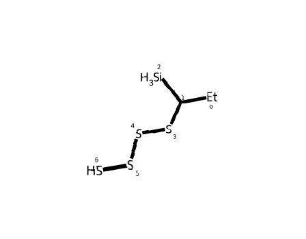 [CH2]CC([SiH3])SSSS